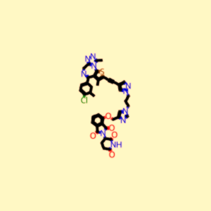 Cc1c(C#Cc2cnn(CCCn3cnc(COc4cccc5c4C(=O)N(C4CCC(=O)NC4=O)C5=O)c3)c2)sc2c1C(C1=CC=C(Cl)C(C)C1)=NCc1nnc(C)n1-2